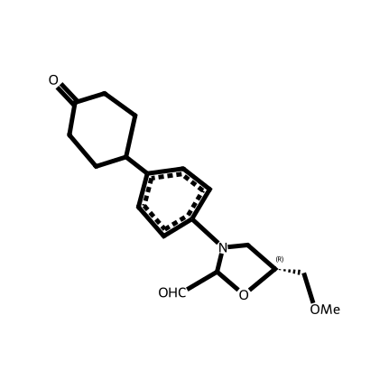 COC[C@H]1CN(c2ccc(C3CCC(=O)CC3)cc2)C(C=O)O1